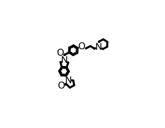 O=C(c1ccc(OCCCN2CCCCC2)cc1)N1Cc2ccc(N3CCCC3=O)cc2C1